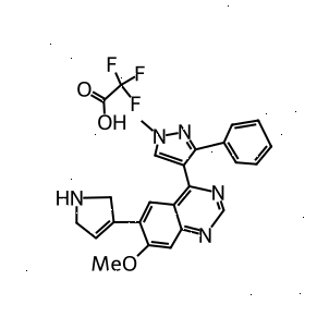 COc1cc2ncnc(-c3cn(C)nc3-c3ccccc3)c2cc1C1=CCNC1.O=C(O)C(F)(F)F